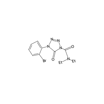 CCN(CC)C(=O)n1nnn(-c2ccccc2Br)c1=O